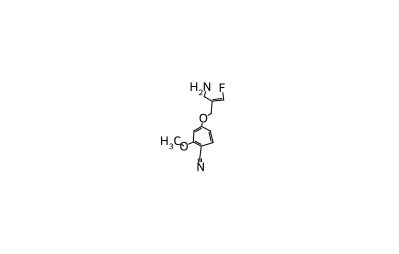 COc1cc(OC/C(=C/F)CN)ccc1C#N